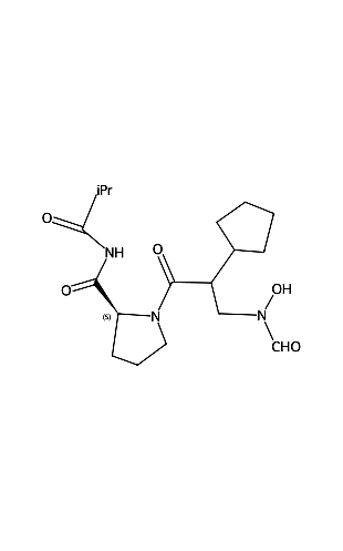 CC(C)C(=O)NC(=O)[C@@H]1CCCN1C(=O)C(CN(O)C=O)C1CCCC1